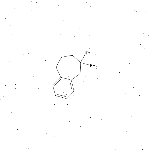 BC1(C(C)C)CCCc2ccccc2C1